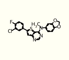 CN(c1ccc2c(c1)OCO2)c1ncnc2cc(-c3ccc(F)c(Cl)c3)sc12